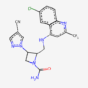 N#Cc1cnn(C2CN(C(N)=O)C2CNc2cc(C(F)(F)F)nc3ccc(Cl)cc23)c1